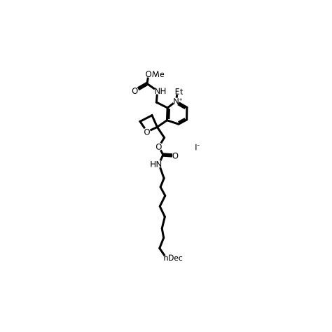 CCCCCCCCCCCCCCCCCCNC(=O)OCC1(c2ccc[n+](CC)c2CNC(=O)OC)CCO1.[I-]